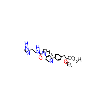 CCO[C@@H](Cc1ccc(-c2cc(N(C)C(=O)NCCc3ncc[nH]3)ccn2)cc1)C(=O)O